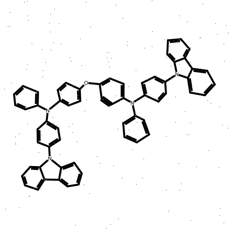 c1c(Oc2ccc(N(c3ccccc3)c3ccc(-n4c5ccccc5c5ccccc54)cc3)cc2)ccc(N(c2ccccc2)c2ccc(-n3c4ccccc4c4ccccc43)cc2)c#1